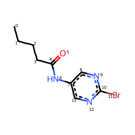 CCCCC(=O)Nc1cnc(Br)nc1